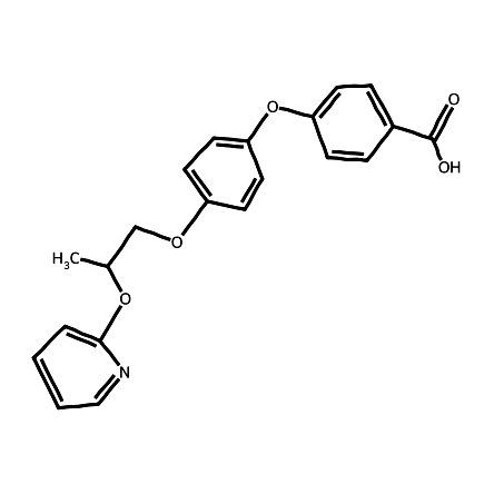 CC(COc1ccc(Oc2ccc(C(=O)O)cc2)cc1)Oc1ccccn1